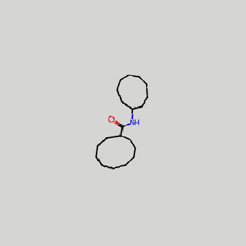 O=C(NC1CCCCCCCC1)C1CCCCCCCCC1